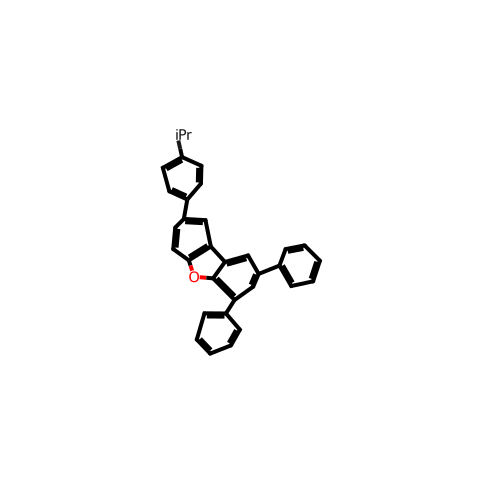 CC(C)c1ccc(-c2ccc3oc4c(-c5ccccc5)cc(-c5ccccc5)cc4c3c2)cc1